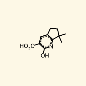 CC1(C)CCc2cc(C(=O)O)c(O)nc21